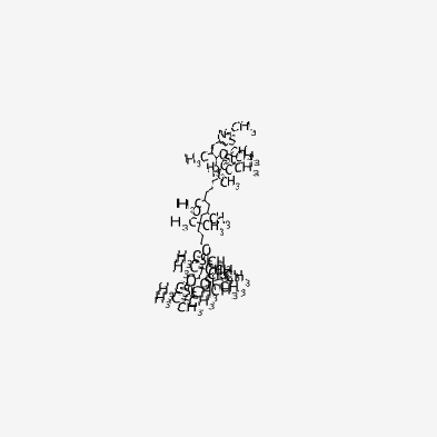 CC(=CCC(O[Si](C)(C)C(C)(C)C)/C(C)=C\c1csc(C)n1)CCCC(C)CC(C)C(=O)C(C)(C)CCCO[Si](C)(C)C(C)(C)C(O[Si](C)(C)C(C)(C)C)O[Si](C)(C)C(C)(C)C